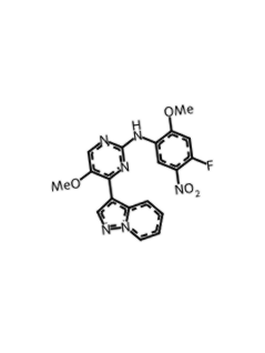 COc1cc(F)c([N+](=O)[O-])cc1Nc1ncc(OC)c(-c2cnn3ccccc23)n1